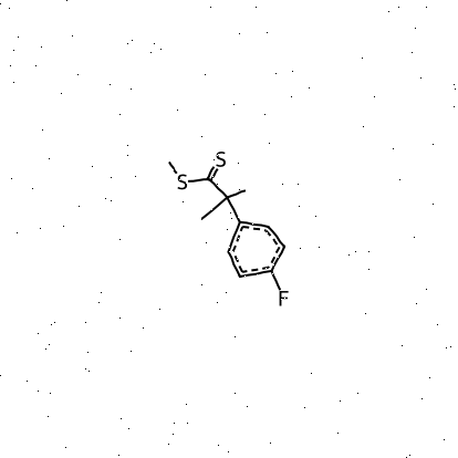 CSC(=S)C(C)(C)c1ccc(F)cc1